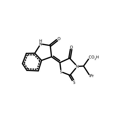 CC(C)C(C(=O)O)N1C(=O)C(=C2C(=O)Nc3ccccc32)SC1=S